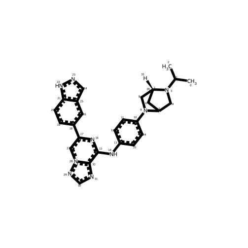 CC(C)N1CC2C[C@@H]1CN2c1ccc(Nc2nc(-c3ccc4[nH]ncc4c3)cn3ncnc23)cc1